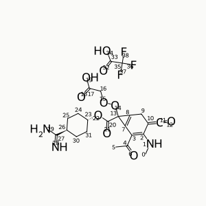 CNC1=C(C(C)=O)C2=C(CC1=C=O)C2(OOCC(=O)O)C(=O)O[C@H]1CC[C@H](C(=N)N)CC1.O=C(O)C(F)(F)F